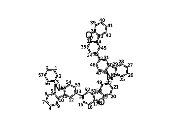 c1ccc(-n2c3ccccc3c3cc(-c4ccc5oc6ccc(-n7c8ccccc8c8cc(-c9ccc%10oc%11ccccc%11c%10c9)ccc87)cc6c5c4)ccc32)cc1